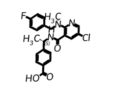 C[C@H](NC(=O)c1cc(Cl)cnc1N(C)Cc1ccc(F)cc1)c1ccc(C(=O)O)cc1